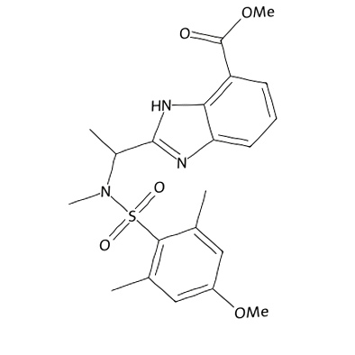 COC(=O)c1cccc2nc(C(C)N(C)S(=O)(=O)c3c(C)cc(OC)cc3C)[nH]c12